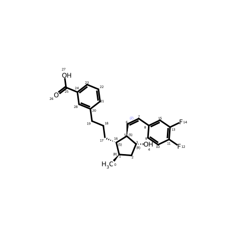 C[C@@H]1C[C@@H](O)[C@H](/C=C\c2ccc(F)c(F)c2)[C@H]1CCCc1cccc(C(=O)O)c1